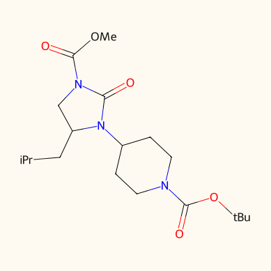 COC(=O)N1CC(CC(C)C)N(C2CCN(C(=O)OC(C)(C)C)CC2)C1=O